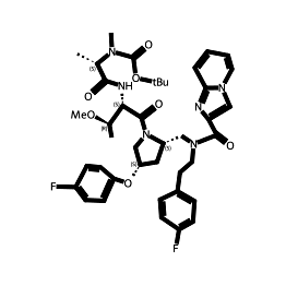 CO[C@H](C)[C@H](NC(=O)[C@H](C)N(C)C(=O)OC(C)(C)C)C(=O)N1C[C@@H](Oc2ccc(F)cc2)C[C@H]1CN(CCc1ccc(F)cc1)C(=O)c1cn2ccccc2n1